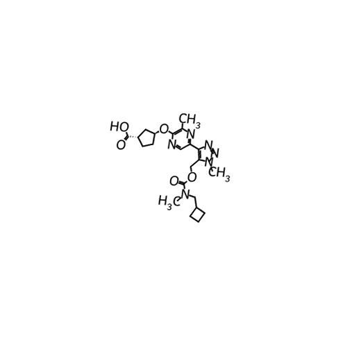 Cc1nc(-c2nnn(C)c2COC(=O)N(C)CC2CCC2)cnc1O[C@H]1CC[C@H](C(=O)O)C1